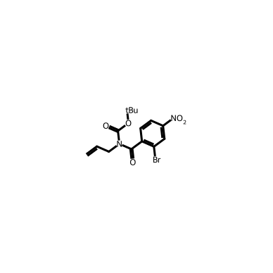 C=CCN(C(=O)OC(C)(C)C)C(=O)c1ccc([N+](=O)[O-])cc1Br